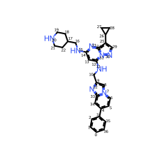 c1ccc(-c2ccn3cc(CNc4cc(NCC5CCNCC5)nc5c(C6CC6)cnn45)nc3c2)cc1